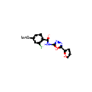 COc1ccc(C(=O)Nc2nnc(-c3ccco3)o2)c(Cl)c1